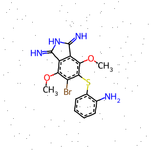 COc1c(Br)c(Sc2ccccc2N)c(OC)c2c1C(=N)NC2=N